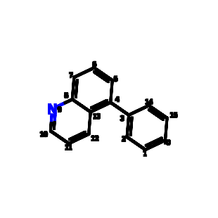 [c]1ccc(-c2cccc3ncccc23)cc1